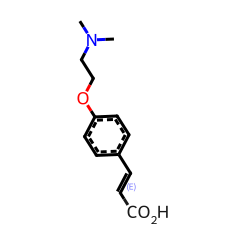 CN(C)CCOc1ccc(/C=C/C(=O)O)cc1